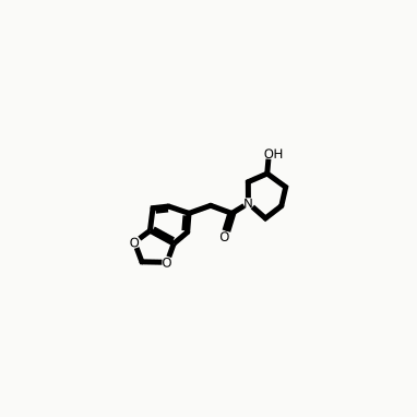 O=C(Cc1ccc2c(c1)OCO2)N1CCCC(O)C1